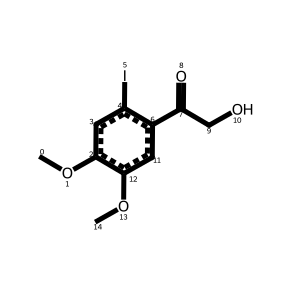 COc1cc(I)c(C(=O)CO)cc1OC